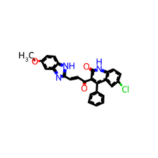 COc1ccc2[nH]c(C=CC(=O)c3c(-c4ccccc4)c4cc(Cl)ccc4[nH]c3=O)nc2c1